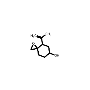 C=C(C)C1CC(O)CCC12CO2